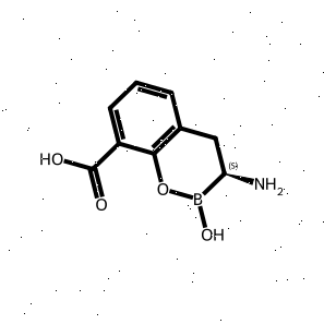 N[C@@H]1Cc2cccc(C(=O)O)c2OB1O